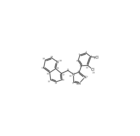 Clc1cccc(-c2nncn2Cc2cccc3cccnc23)c1Cl